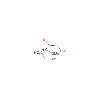 CC(C)CC(=O)O.COC.OCCO